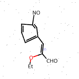 CCO/C(C=O)=C\c1cccc(N=O)c1